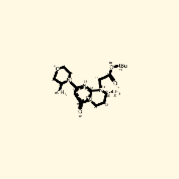 CC1COCCN1c1cc(=O)n2c(n1)N(CC(=O)OC(C)(C)C)[C@H](C(F)(F)F)CC2